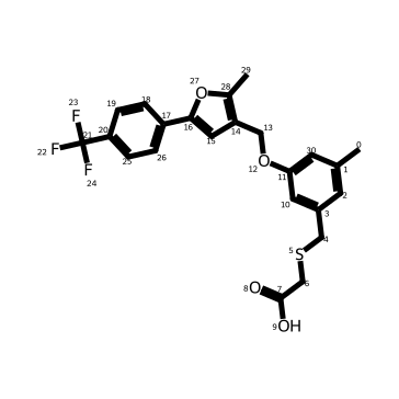 Cc1cc(CSCC(=O)O)cc(OCc2cc(-c3ccc(C(F)(F)F)cc3)oc2C)c1